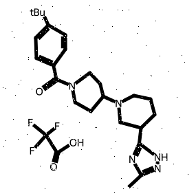 Cc1n[nH]c(C2CCCN(C3CCN(C(=O)c4ccc(C(C)(C)C)cc4)CC3)C2)n1.O=C(O)C(F)(F)F